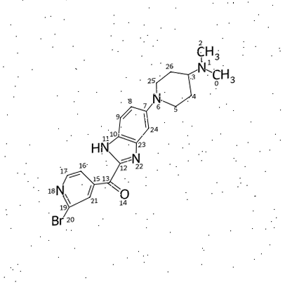 CN(C)C1CCN(c2ccc3[nH]c(C(=O)c4ccnc(Br)c4)nc3c2)CC1